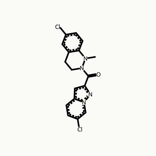 CN1c2ccc(Cl)cc2CCN1C(=O)c1cc2ccc(Cl)cn2n1